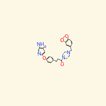 Cc1cc(Oc2ccc(CCC(=O)N3CCN(Cc4ccc5c(c4)OCO5)CC3)cc2)ncc1N